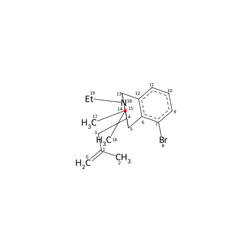 C=C(C)CC1C2c3c(Br)cccc3C(CC2(C)C)N1CC